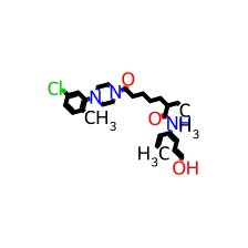 C\C=C/C(=C\C=C\O)NC(=O)C(CC)CCCCC(=O)N1CCN(c2cc(Cl)ccc2C)CC1